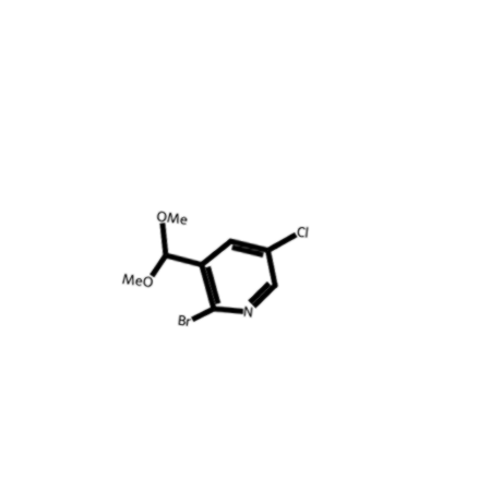 COC(OC)c1cc(Cl)cnc1Br